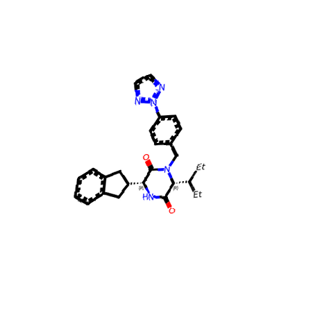 CCC(CC)[C@@H]1C(=O)N[C@H](C2Cc3ccccc3C2)C(=O)N1Cc1ccc(-n2nccn2)cc1